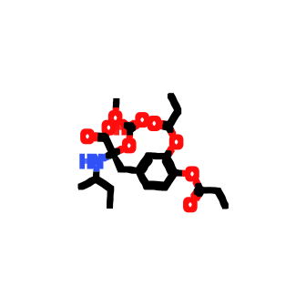 CCC(=O)Oc1ccc(C[C@](NC(C)CC)(OC(=O)OC)C(=O)O)cc1OC(=O)CC